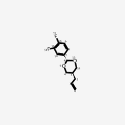 C=CC[C@H]1CO[C@H](c2ccc(F)c(F)c2)OC1